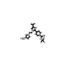 CC(C)c1cn(CCN2CC[C@@H](O)C2)c(C2CCN(C(=O)OC(C)(C)C)CC2)n1